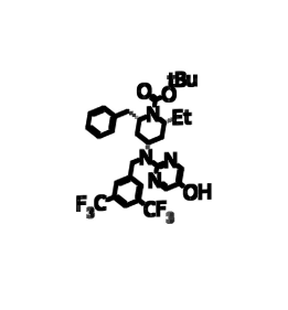 CC[C@@H]1C[C@H](N(Cc2cc(C(F)(F)F)cc(C(F)(F)F)c2)c2ncc(O)cn2)C[C@H](Cc2ccccc2)N1C(=O)OC(C)(C)C